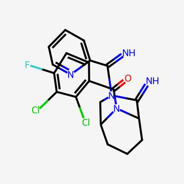 N=C(c1ccccn1)N1CC2CCCC(C1=N)N2C(=O)c1ccc(F)c(Cl)c1Cl